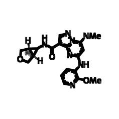 CNc1cc(Nc2cccnc2OC)nc2c(C(=O)NC3[C@H]4COC[C@@H]34)cnn12